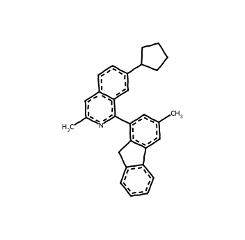 Cc1cc2c(c(-c3nc(C)cc4ccc(C5CCCC5)cc34)c1)Cc1ccccc1-2